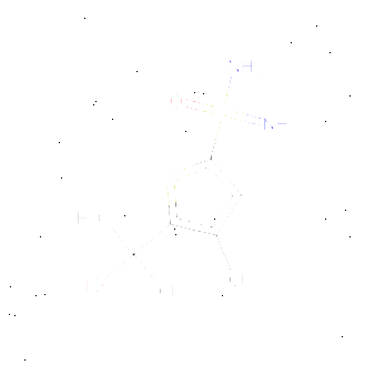 Cc1cc(S(=N)(N)=O)sc1C(C)(C)O